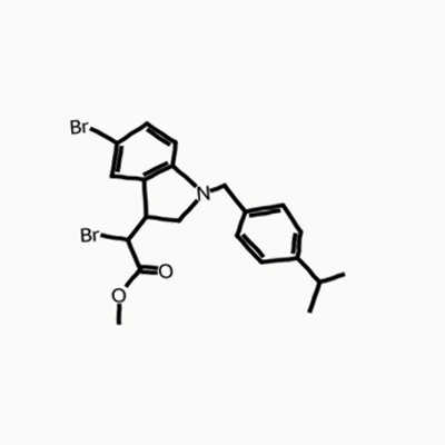 COC(=O)C(Br)C1CN(Cc2ccc(C(C)C)cc2)c2ccc(Br)cc21